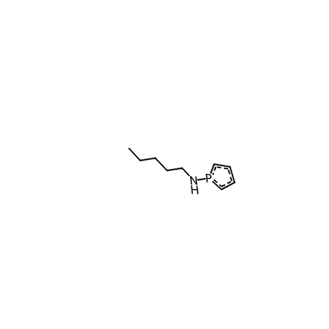 CCCCCNp1cccc1